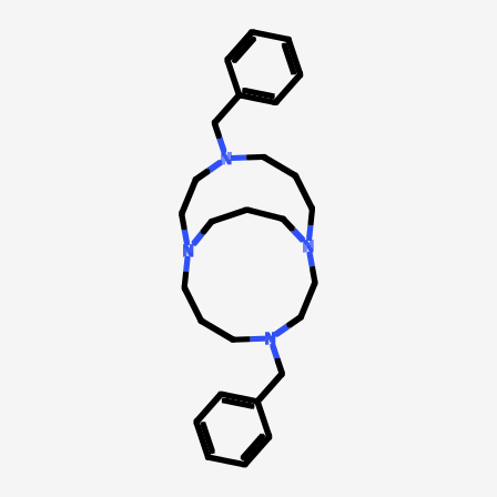 c1ccc(CN2CCCN3CCCN(CCCN(Cc4ccccc4)CC3)CC2)cc1